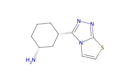 N[C@@H]1CCC[C@H](c2nnc3sccn23)C1